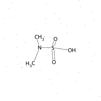 [CH2]N(C)S(=O)(=O)O